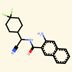 N#CC(NC(=O)c1cc2ccccc2cc1N)C1CCC(F)(F)CC1